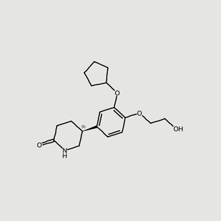 O=C1CC[C@@H](c2ccc(OCCO)c(OC3CCCC3)c2)CN1